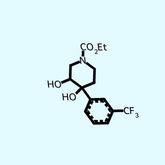 CCOC(=O)N1CCC(O)(c2cccc(C(F)(F)F)c2)C(O)C1